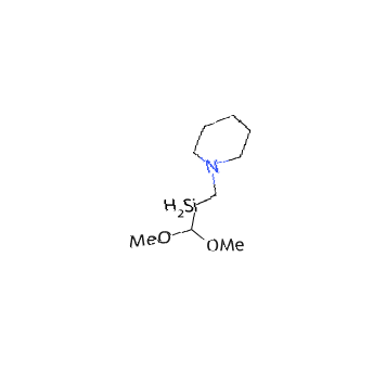 COC(OC)[SiH2]CN1CCCCC1